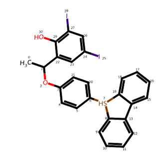 CC(Oc1ccc([SH]2c3ccccc3-c3ccccc32)cc1)c1cc(I)cc(I)c1O